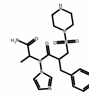 CC(C(N)=O)N(C(=O)C(Cc1ccccc1)CS(=O)(=O)N1CCNCC1)n1ccnc1